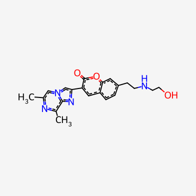 Cc1cn2cc(-c3cc4ccc(CCNCCO)cc4oc3=O)nc2c(C)n1